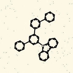 c1ccc(-c2cccc(-c3cc(-c4ccccc4)cc(-n4c5ccccc5c5ccccc54)c3)c2)cc1